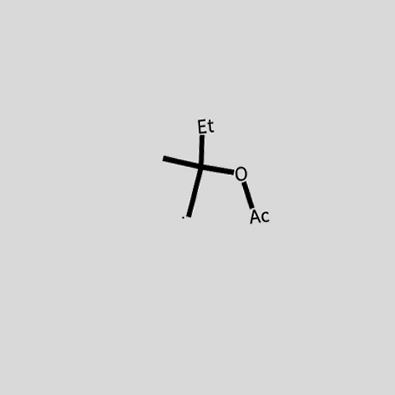 [CH2]C(C)(CC)OC(C)=O